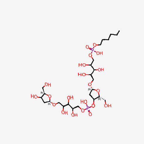 CCCCCCOP(=O)(O)OCC(O)C(O)C(O)CO[C@H]1CC(OP(=O)(O)OCC(O)C(O)C(O)CO[C@H]2CC(O)[C@@H](CO)O2)[C@@H](CO)O1